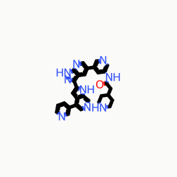 O=C(CC1CCNCC1)Nc1cncc(-c2cnc3[nH]nc(-c4cc5c(-c6cccnc6)cncc5[nH]4)c3c2)c1